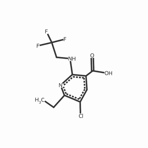 CCc1nc(NCC(F)(F)F)c(C(=O)O)cc1Cl